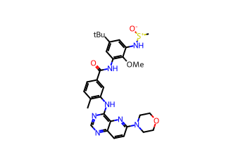 COc1c(NC(=O)c2ccc(C)c(Nc3ncnc4ccc(N5CCOCC5)nc34)c2)cc(C(C)(C)C)cc1N[S+](C)[O-]